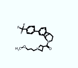 COCCCN1CC(C(=O)N2CCC3CC2c2cc(-c4ccc(C(F)(F)F)cc4)ccc23)C1